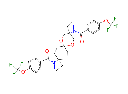 CCC1(NC(=O)c2ccc(OC(F)(F)F)cc2)CCC2(CC1)OCC(CC)(NC(=O)c1ccc(OC(F)(F)F)cc1)CO2